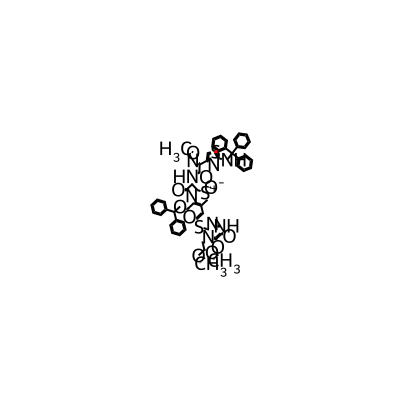 CON=C(C(=O)NC1C(=O)N2C(C(=O)OC(c3ccccc3)c3ccccc3)=C(C=CSc3n[nH]c(=O)c(=O)n3CC(OC)OC)C[S+]([O-])C12)c1csc(NC(c2ccccc2)(c2ccccc2)c2ccccc2)n1